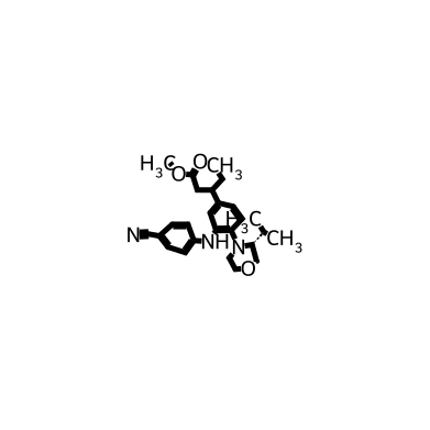 CCC(CC(=O)OC)c1ccc(N2CCOC[C@H]2C(C)C)c(Nc2ccc(C#N)cc2)c1